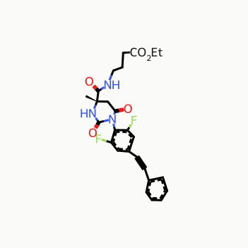 CCOC(=O)CCCNC(=O)[C@]1(C)CC(=O)N(c2c(F)cc(C#Cc3ccccc3)cc2F)C(=O)N1